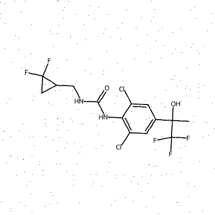 CC(O)(c1cc(Cl)c(NC(=O)NCC2CC2(F)F)c(Cl)c1)C(F)(F)F